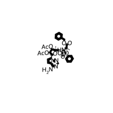 CC(=O)O[C@H]1[C@H](c2ccc3c(N)ncnn23)O[C@](C)(COP(=O)(N[C@@H](C)C(=O)OCc2ccccc2)Oc2ccccc2)[C@H]1OC(C)=O